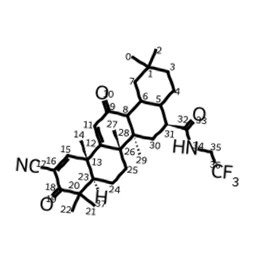 CC1(C)CCC2C(C1)C1C(=O)C=C3[C@@]4(C)C=C(C#N)C(=O)C(C)(C)[C@@H]4CC[C@@]3(C)[C@]1(C)C[C@@H]2C(=O)NCC(F)(F)F